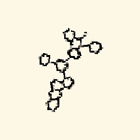 O=c1c2ccccc2c2cc(-c3cc(-c4ccccc4)cc(-c4cccc5c4ccc4cc6ccccc6cc45)c3)ccc2n1-c1ccccc1